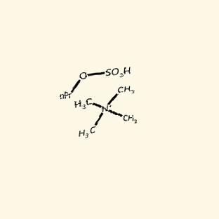 CCCOS(=O)(=O)O.C[N+](C)(C)C